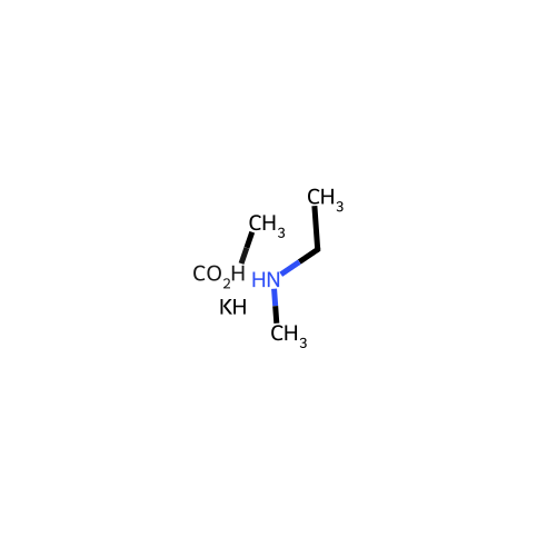 CC(=O)O.CCNC.[KH]